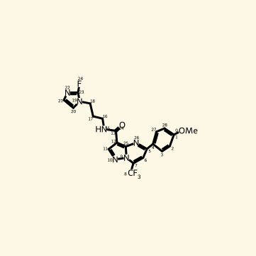 COc1ccc(-c2cc(C(F)(F)F)n3ncc(C(=O)NCCCn4ccnc4F)c3n2)cc1